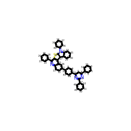 c1ccc(-c2cc(-c3ccc(-c4ccc5nc(-c6ccccc6)c6c(c5c4)C4c5ccccc5N(c5ccccc5)C4S6)cc3)nc(-c3ccccc3)n2)cc1